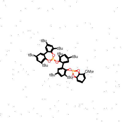 COC1=CC=CC2OP(Oc3c(-c4cc(C(C)(C)C)cc(C(C)(C)C)c4Op4oc5c(C(C)(C)C)cc(C(C)(C)C)cc5c5cc(C(C)(C)C)cc(C(C)(C)C)c5o4)cc(C(C)(C)C)cc3C(C)(C)C)OC12